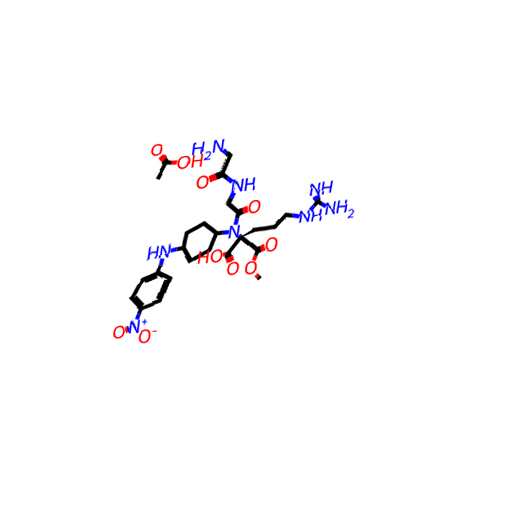 CC(=O)O.COC(=O)[C@](CCCNC(=N)N)(C(=O)O)N(C(=O)CNC(=O)CN)C1CCC(Nc2ccc([N+](=O)[O-])cc2)CC1